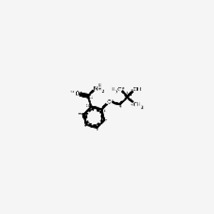 CC(C)(O)COc1ccccc1C(N)=O